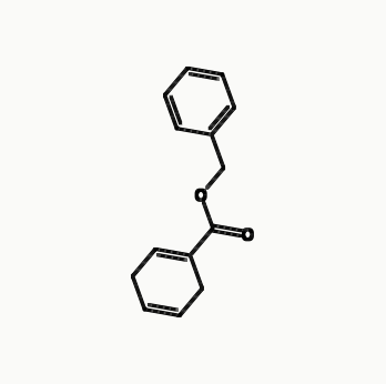 O=C(OCc1ccccc1)C1=CCC=CC1